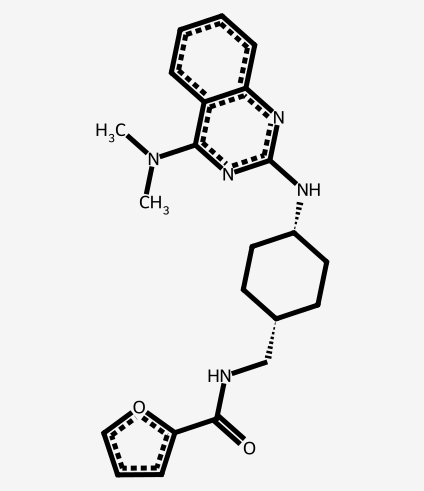 CN(C)c1nc(N[C@H]2CC[C@@H](CNC(=O)c3ccco3)CC2)nc2ccccc12